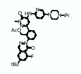 CC(=O)OCc1c(-c2cc(Nc3ccc(N4CCN(C(C)C)CC4)cn3)c(=O)n(C)n2)cccc1-n1ncc2cc(C(C)(C)C)cc(F)c2c1=O